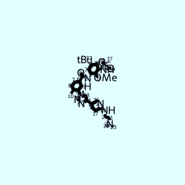 COc1c(NC(=O)c2ccc(C)c(-n3cc(-c4ccc(NCCN(C)C)nc4)nn3)c2)cc(C(C)(C)C)cc1NS(C)(=O)=O